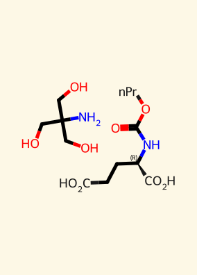 CCCOC(=O)N[C@H](CCC(=O)O)C(=O)O.NC(CO)(CO)CO